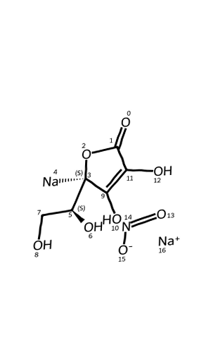 O=C1O[C@]([Na])([C@@H](O)CO)C(O)=C1O.O=N[O-].[Na+]